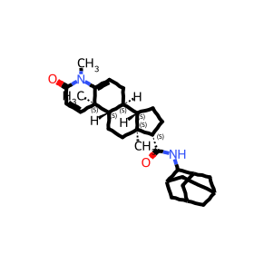 CN1C(=O)C=C[C@@]2(C)C1=CC[C@H]1[C@@H]3CC[C@H](C(=O)NC4C5CC6CC(C5)CC4C6)[C@@]3(C)CC[C@@H]12